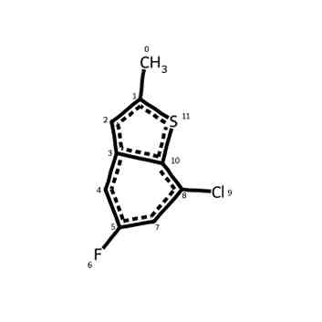 Cc1cc2cc(F)cc(Cl)c2s1